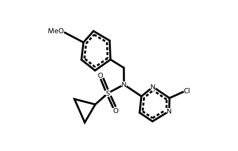 COc1ccc(CN(c2ccnc(Cl)n2)S(=O)(=O)C2CC2)cc1